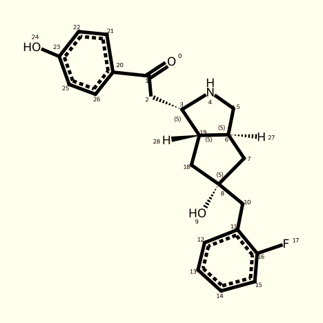 O=C(C[C@@H]1N[CH][C@H]2C[C@@](O)(Cc3ccccc3F)C[C@H]12)c1ccc(O)cc1